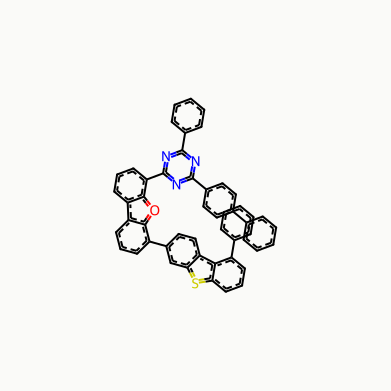 c1ccc(-c2ccc(-c3nc(-c4ccccc4)nc(-c4cccc5c4oc4c(-c6ccc7c(c6)sc6cccc(-c8ccccc8)c67)cccc45)n3)cc2)cc1